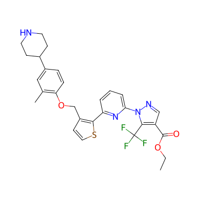 CCOC(=O)c1cnn(-c2cccc(-c3sccc3COc3ccc(C4CCNCC4)cc3C)n2)c1C(F)(F)F